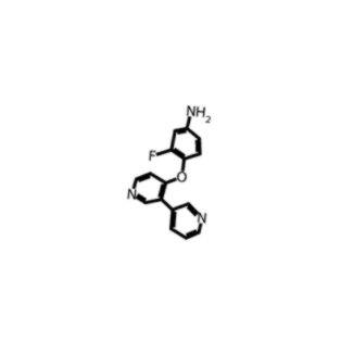 Nc1ccc(Oc2ccncc2-c2cccnc2)c(F)c1